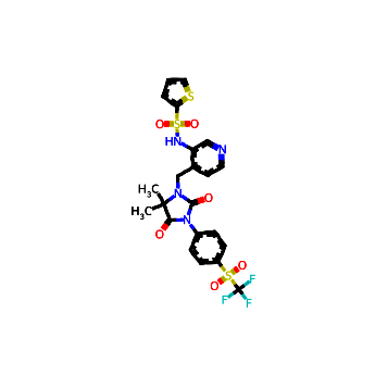 CC1(C)C(=O)N(c2ccc(S(=O)(=O)C(F)(F)F)cc2)C(=O)N1Cc1ccncc1NS(=O)(=O)c1cccs1